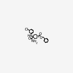 NC(=O)C1(NC2=CC=CC(Cl)C2)CCN(C(=O)OCc2ccccc2)CC1